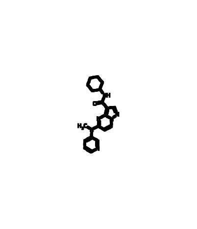 CN(c1cccnc1)c1ccn2ncc(C(=O)NC3CCCCC3)c2n1